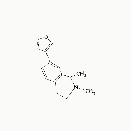 CC1c2cc(-c3ccoc3)ccc2CCN1C